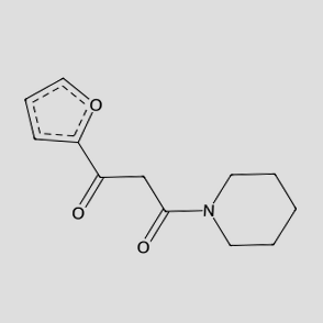 O=C(CC(=O)N1CCCCC1)c1ccco1